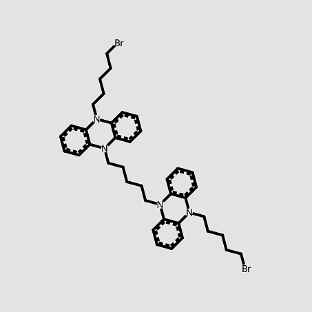 BrCCCCCN1c2ccccc2N(CCCCCN2c3ccccc3N(CCCCCBr)c3ccccc32)c2ccccc21